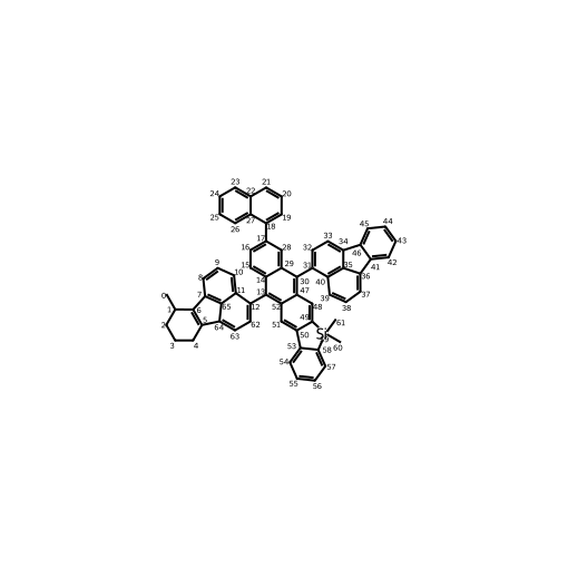 CC1CCCC2=C1c1cccc3c(-c4c5ccc(-c6cccc7ccccc67)cc5c(-c5ccc6c7c(cccc57)-c5ccccc5-6)c5cc6c(cc45)-c4ccccc4[Si]6(C)C)ccc2c13